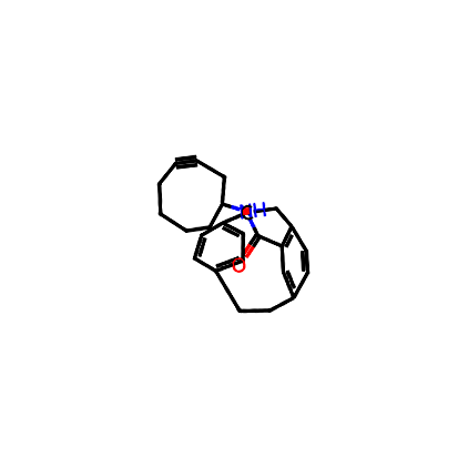 O=C(NC1CC#CCCCC1)c1cc2ccc1CCc1ccc(cc1)CC2